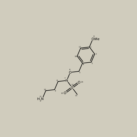 COc1ccc(CON(CCCN)S(C)(=O)=O)cc1